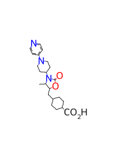 CC1C(CC2CCC(C(=O)O)CC2)OC(=O)N1C1CCN(c2ccncc2)CC1